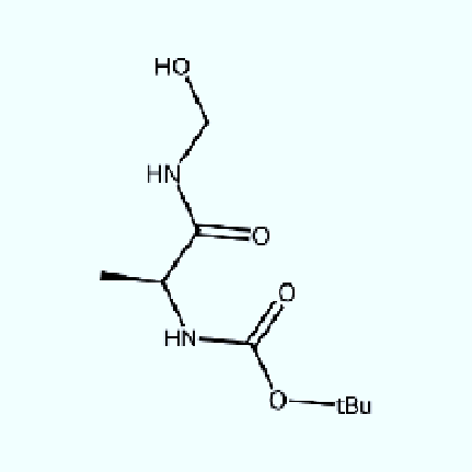 C[C@H](NC(=O)OC(C)(C)C)C(=O)NCO